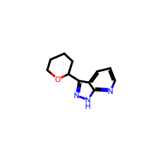 c1cnc2[nH]nc(C3CCCCO3)c2c1